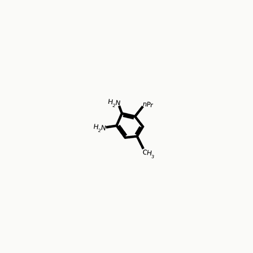 CCCc1cc(C)cc(N)c1N